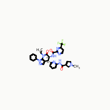 CCN1C(=O)[C@@H](NC(=O)c2nccc(C(F)(F)F)n2)[C@H](c2cccc(NC(=O)C3=CCN(C)C3)n2)c2cnn(-c3ccccc3)c21